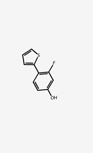 Oc1ccc(-c2cccs2)c(F)c1